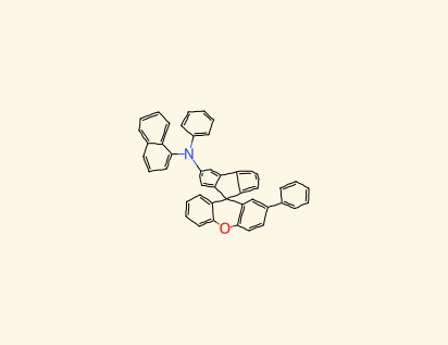 c1ccc(-c2ccc3c(c2)C2(c4ccccc4O3)c3ccccc3-c3cc(N(c4ccccc4)c4cccc5ccccc45)ccc32)cc1